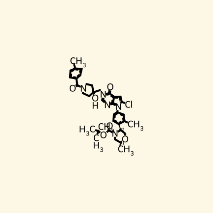 Cc1ccc(C(=O)N2CCC(O)(Cn3cnc4c(cc(Cl)n4-c4ccc([C@H]5CO[C@H](C)CN5C(=O)OC(C)(C)C)c(C)c4)c3=O)CC2)cc1